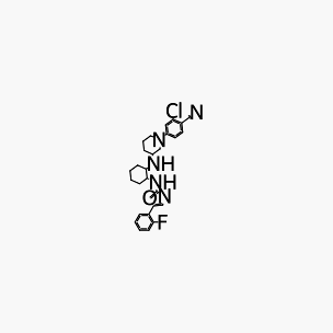 N#Cc1ccc(N2CCC[C@H](N[C@@H]3CCCC[C@H]3Nc3ncc(-c4ccccc4F)o3)C2)cc1Cl